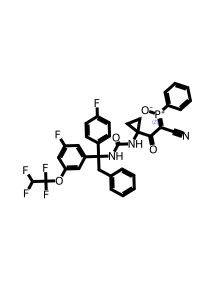 N#C/C(C(=O)C1(NC(=O)NC(Cc2ccccc2)(c2ccc(F)cc2)c2cc(F)cc(OC(F)(F)C(F)F)c2)CC1)=[P+](/[O-])c1ccccc1